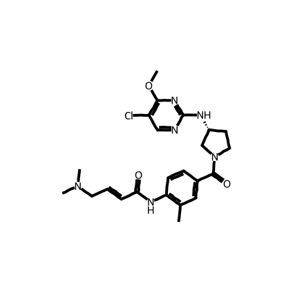 COc1nc(N[C@@H]2CCN(C(=O)c3ccc(NC(=O)/C=C/CN(C)C)c(C)c3)C2)ncc1Cl